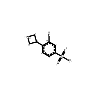 NS(=O)(=O)c1ccc(C2CNC2)c(F)c1